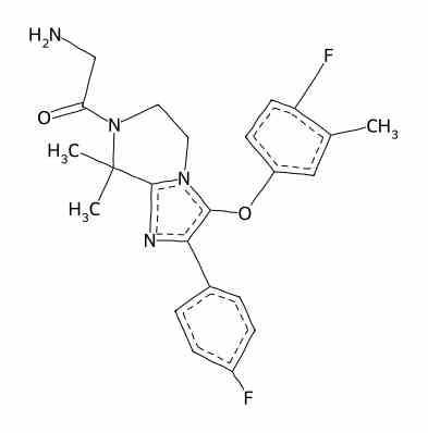 Cc1cc(Oc2c(-c3ccc(F)cc3)nc3n2CCN(C(=O)CN)C3(C)C)ccc1F